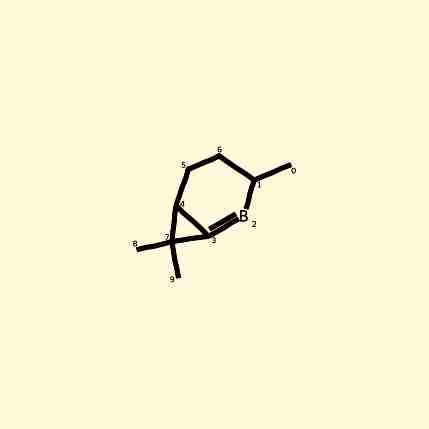 CC1B=C2C(CC1)C2(C)C